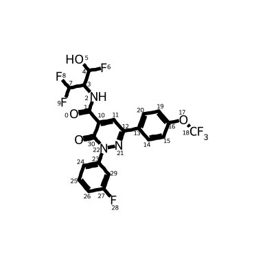 O=C(NC(C(O)F)C(F)F)c1cc(-c2ccc(OC(F)(F)F)cc2)nn(-c2cccc(F)c2)c1=O